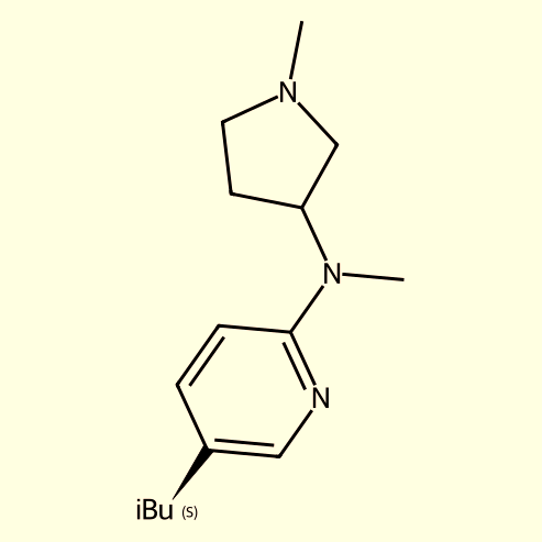 CC[C@H](C)c1ccc(N(C)C2CCN(C)C2)nc1